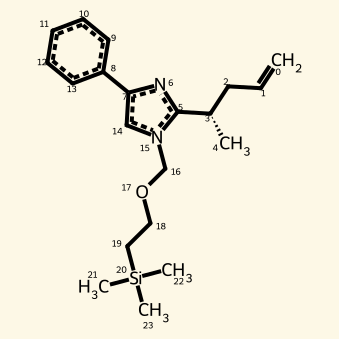 C=CC[C@H](C)c1nc(-c2ccccc2)cn1COCC[Si](C)(C)C